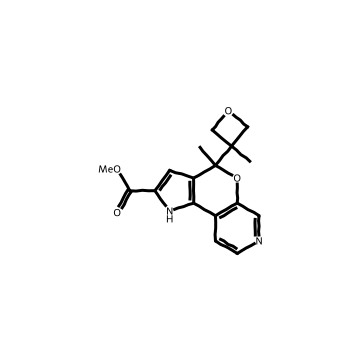 COC(=O)c1cc2c([nH]1)-c1ccncc1OC2(C)C1(C)COC1